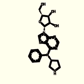 OC[C@H]1O[C@@H](n2cnc3c(N(c4ccccc4)[C@H]4CCNC4)ncnc32)[C@H](O)[C@@H]1O